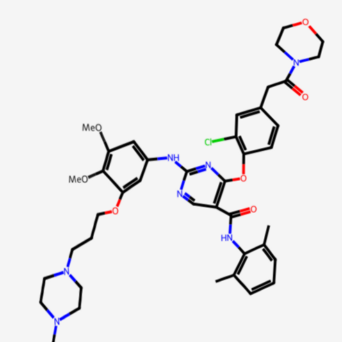 COc1cc(Nc2ncc(C(=O)Nc3c(C)cccc3C)c(Oc3ccc(CC(=O)N4CCOCC4)cc3Cl)n2)cc(OCCCN2CCN(C)CC2)c1OC